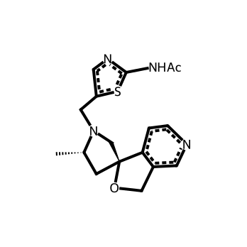 CC(=O)Nc1ncc(CN2C[C@]3(C[C@@H]2C)OCc2cnccc23)s1